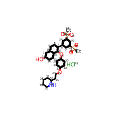 CCS(=O)(=O)c1cc(-c2ccc3cc(O)ccc3c2Oc2ccc(OCCC3CCCCN3)cc2)cc(S(=O)(=O)CC)c1.Cl